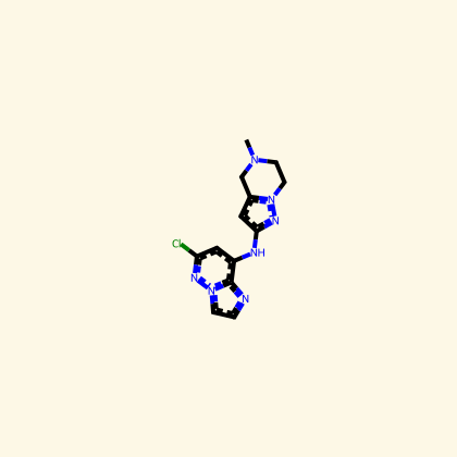 CN1CCn2nc(Nc3cc(Cl)nn4ccnc34)cc2C1